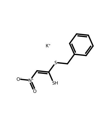 O=[N+]([O-])C=C(S)SCc1ccccc1.[K+]